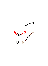 [Br][Zn][Br].[CH2]C(=O)OCC